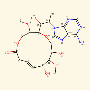 COC1COC(=O)C/C=C/[C@@H](O)C(OC)C(O)COC1C(O)C(C)n1cnc2c(N)ncnc21